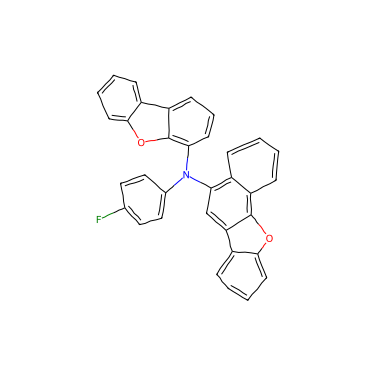 Fc1ccc(N(c2cc3c4ccccc4oc3c3ccccc23)c2cccc3c2oc2ccccc23)cc1